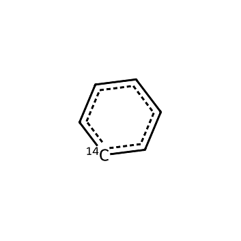 c1cc[14cH]cc1